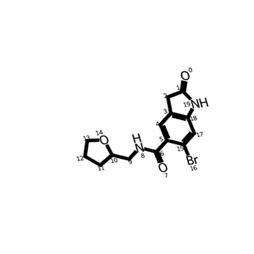 O=C1Cc2cc(C(=O)NCC3CCCO3)c(Br)cc2N1